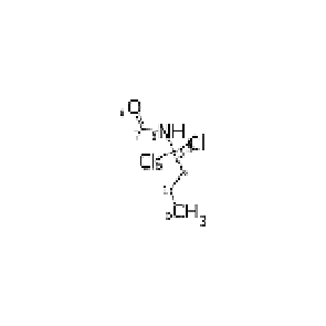 CCCC(Cl)(Cl)NC=O